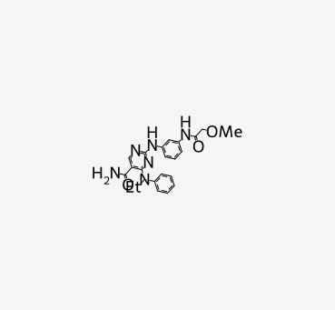 CCN(c1ccccc1)c1nc(Nc2cccc(NC(=O)COC)c2)ncc1C(N)=O